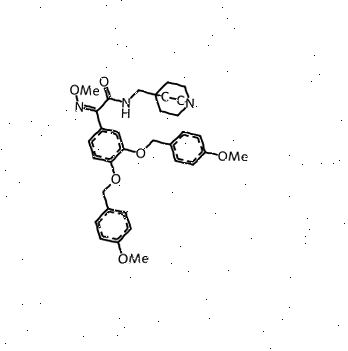 CO/N=C(\C(=O)NCC12CCN(CC1)CC2)c1ccc(OCc2ccc(OC)cc2)c(OCc2ccc(OC)cc2)c1